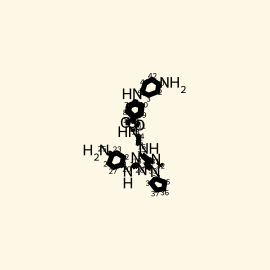 NC1CCC(Nc2ccc(S(=O)(=O)NCCNc3nc(NC4CCC(N)CC4)nc4c3ncn4C3CCCC3)cc2)CC1